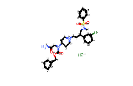 CN(CC(CCN1CCC(N(CC(N)=O)C(=O)OCc2ccccc2)CC1)c1cccc(Cl)c1)S(=O)(=O)c1ccccc1.Cl